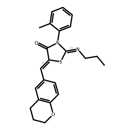 CCC/N=C1\S/C(=C\c2ccc3c(c2)CCCO3)C(=O)N1c1ccccc1C